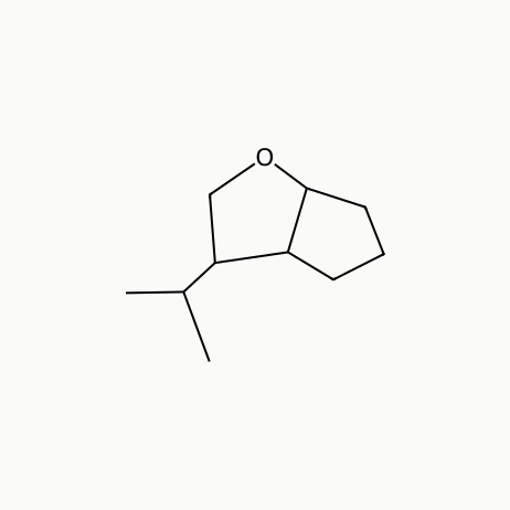 CC(C)C1COC2CCCC21